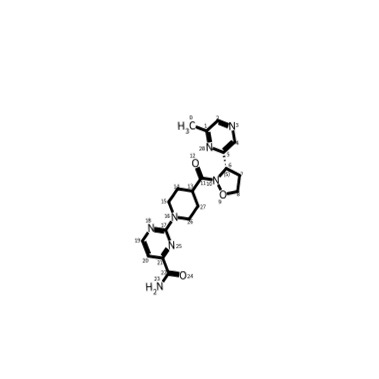 Cc1cncc([C@@H]2CCON2C(=O)C2CCN(c3nccc(C(N)=O)n3)CC2)n1